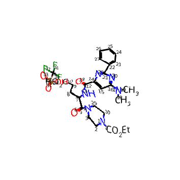 CCOC(=O)N1CCN(C(=O)C(CCC(=O)O)NC(=O)c2cc(N(C)C)nc(-c3ccccc3)n2)CC1.O=S(=O)(O)C(F)(F)F